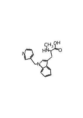 CNC(Cc1cn(Cc2cccnc2)c2ccccc12)C(=O)O